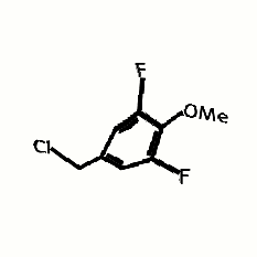 COc1c(F)cc(CCl)cc1F